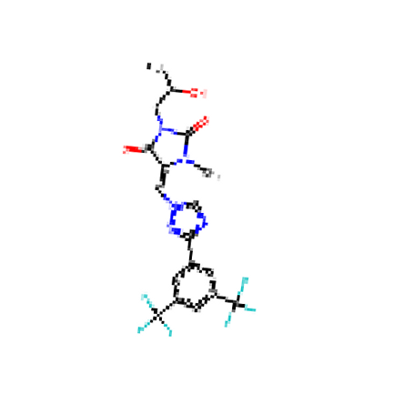 CC(O)CN1C(=O)C(=Cn2cnc(-c3cc(C(F)(F)F)cc(C(F)(F)F)c3)n2)N(C)C1=O